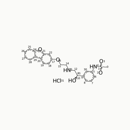 CS(=O)(=O)Nc1cccc([C@@H](O)CNCCOc2ccc3c(c2)oc2ccccc23)c1.Cl